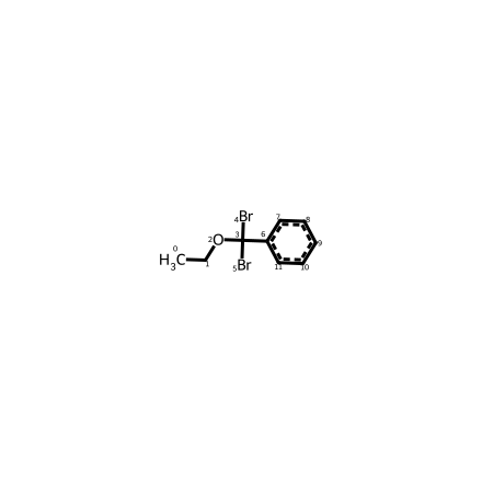 CCOC(Br)(Br)c1ccccc1